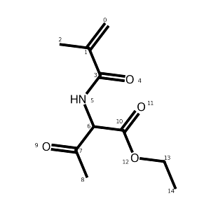 C=C(C)C(=O)NC(C(C)=O)C(=O)OCC